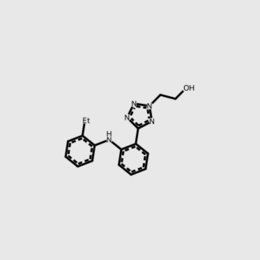 CCc1ccccc1Nc1ccccc1-c1nnn(CCO)n1